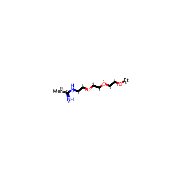 CCOCCOCCOCCNC(=N)NC